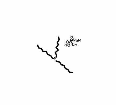 CCCCCCCCP(CCCCCCCC)CCCCCCCC.O=P(O)(O)O.[NaH]